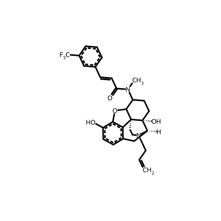 C=CCN1CC[C@]23c4c5ccc(O)c4OC2C(N(C)C(=O)/C=C/c2cccc(C(F)(F)F)c2)CC[C@@]3(O)[C@H]1C5